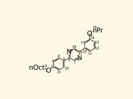 CCCCCCCCOc1ccc(-c2cnc(-c3cccc(OCCC)c3)cn2)cc1